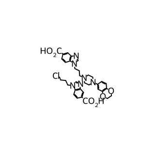 O=C(O)c1ccc2c(c1)ncn2CCCCl.O=C(O)c1ccc2c(c1)ncn2CCCN1CCN(c2ccc3c(c2)OCCO3)CC1